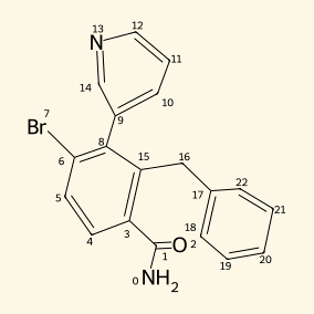 NC(=O)c1ccc(Br)c(-c2cccnc2)c1Cc1ccccc1